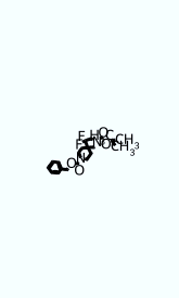 CC(C)(C)OC(=O)N1CC(F)(F)C2(CCN(C(=O)OCc3ccccc3)CC2)C1